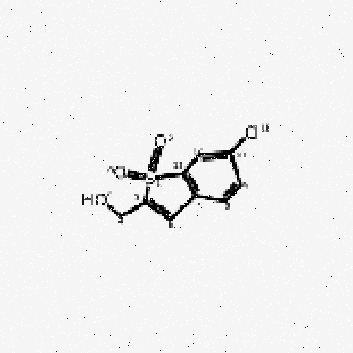 O=S1(=O)C(CO)=Cc2ccc(Cl)cc21